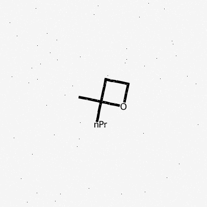 [CH2]CCC1(C)CCO1